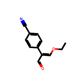 CCO/C=C(/C=O)c1ccc(C#N)cc1